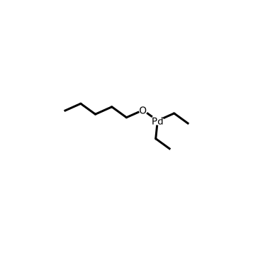 CCCCC[O][Pd]([CH2]C)[CH2]C